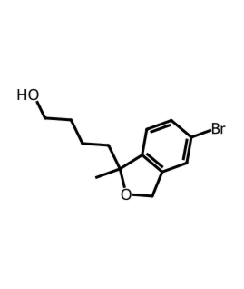 CC1(CCCCO)OCc2cc(Br)ccc21